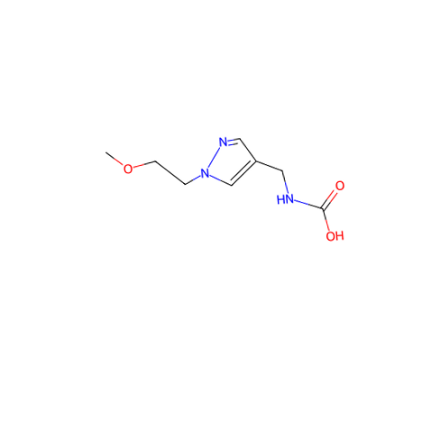 COCCn1cc(CNC(=O)O)cn1